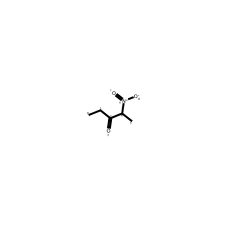 CCC(=O)C(C)[N+](=O)[O-]